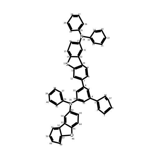 c1ccc(-c2cc(-c3ccc4c(c3)sc3ccc(N(c5ccccc5)c5ccccc5)cc34)cc(N(c3ccccc3)c3ccc4oc5ccccc5c4c3)c2)cc1